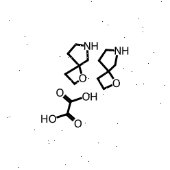 C1CC2(CCO2)CN1.C1CC2(CCO2)CN1.O=C(O)C(=O)O